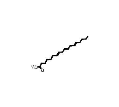 CCCCC=CCC=CCC=CCCCCCC(=O)O